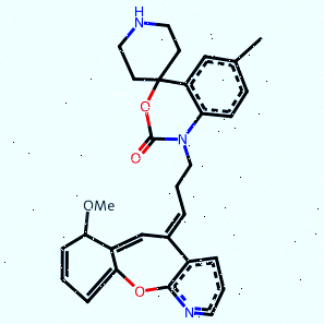 COC1C=CC=C2Oc3ncccc3C(=CCCN3C(=O)OC4(CCNCC4)c4cc(C)ccc43)C=C21